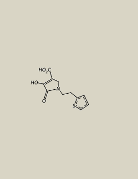 O=C(O)C1=C(O)C(=O)N(CCc2cccs2)C1